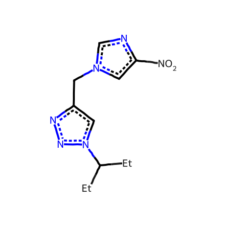 CCC(CC)n1cc(Cn2cnc([N+](=O)[O-])c2)nn1